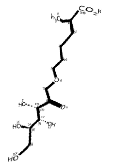 CC(CCCCOCC(=O)[C@@H](O)[C@H](O)[C@H](O)CO)C(=O)O